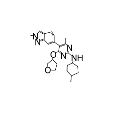 Cc1nc(NC2CCC(C)CC2)nc(OC2CCOC2)c1-c1ccc2cn(C)nc2c1